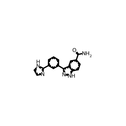 NC(=O)c1ccc2[nH]nc(-c3cccc(-c4ncc[nH]4)c3)c2c1